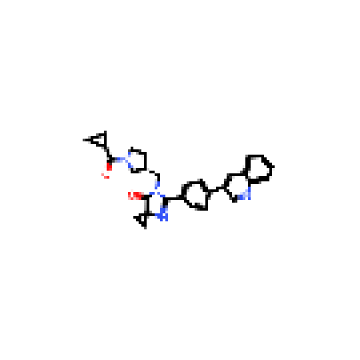 O=C(C1CC1)N1CC[C@@H](CN2C(=O)C3(CC3)N=C2c2ccc(-c3cnc4ccccc4c3)cc2)C1